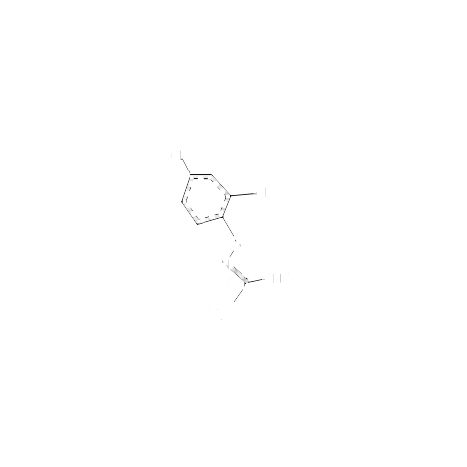 CCOC(=O)/C(C=O)=N/Nc1ccc(Cl)cc1Cl